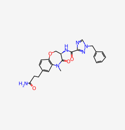 CN1C(=O)[C@H](NC(=O)c2ncn(Cc3ccccc3)n2)COc2ccc(CCC(N)=O)cc21